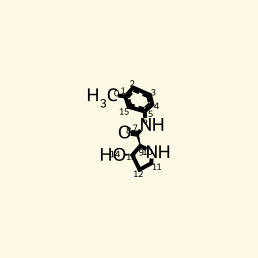 Cc1cccc(NC(=O)[C@H]2NCC[C@@H]2O)c1